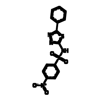 O=[N+]([O-])c1ccc(S(=O)(=O)Nc2nnc(-c3ccccc3)s2)cc1